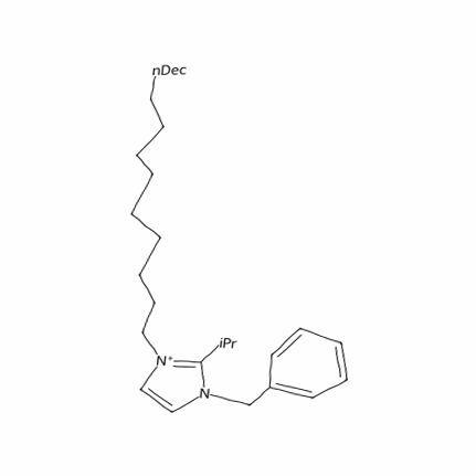 CCCCCCCCCCCCCCCCCCC[n+]1ccn(Cc2ccccc2)c1C(C)C